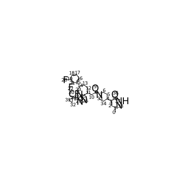 Cc1cc(C2CCN(C(=O)C[C@@H]3CC[C@@H](c4cccc(F)c4F)Cn4c3nnc4C3(C(F)(F)F)CC3)CC2)c(=O)[nH]n1